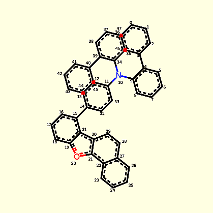 c1ccc(-c2ccccc2N(c2ccc(-c3cccc4oc5c6ccccc6ccc5c34)cc2)c2ccccc2-c2ccccc2)cc1